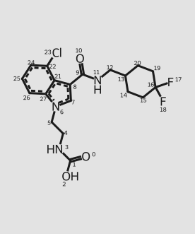 O=C(O)NCCn1cc(C(=O)NCC2CCC(F)(F)CC2)c2c(Cl)cccc21